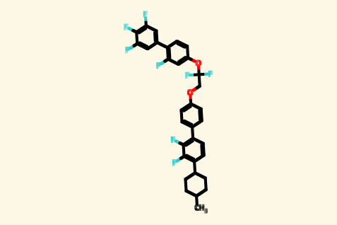 CC1CCC(c2ccc(-c3ccc(OCC(F)(F)Oc4ccc(-c5cc(F)c(F)c(F)c5)c(F)c4)cc3)c(F)c2F)CC1